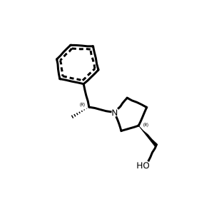 C[C@H](c1ccccc1)N1CC[C@@H](CO)C1